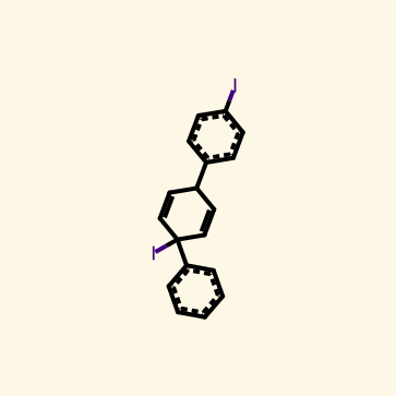 Ic1ccc(C2C=CC(I)(c3ccccc3)C=C2)cc1